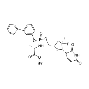 CC(C)OC(=O)[C@H](C)NP(=O)(OC[C@@H]1C[C@@](C)(F)[C@H](n2ccc(=O)[nH]c2=O)O1)Oc1cccc(-c2ccccc2)c1